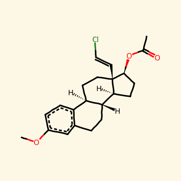 COc1ccc2c(c1)CC[C@@H]1[C@@H]2CC[C@]2(/C=C/Cl)[C@@H](OC(C)=O)CC[C@@H]12